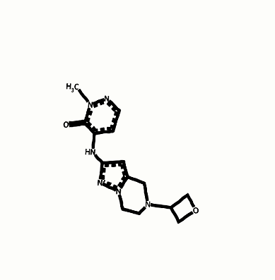 Cn1nccc(Nc2cc3n(n2)CCN(C2COC2)C3)c1=O